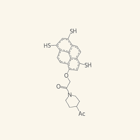 CC(=O)C1CCN(C(=O)COc2cc(S)c3ccc4c(S)cc(S)c5ccc2c3c45)CC1